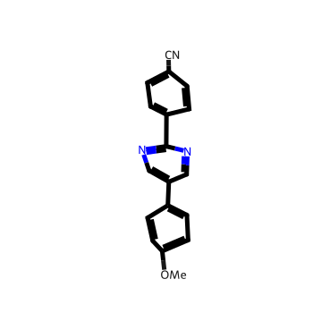 COc1ccc(-c2cnc(-c3ccc(C#N)cc3)nc2)cc1